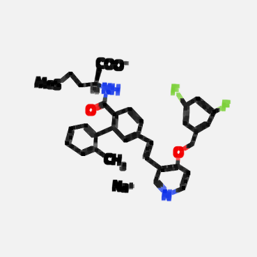 CSCC[C@H](NC(=O)c1ccc(C=Cc2cnccc2OCc2cc(F)cc(F)c2)cc1-c1ccccc1C)C(=O)[O-].[Na+]